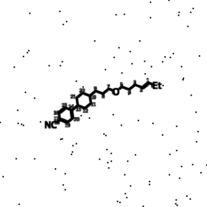 CC/C=C/CCCOCCCC1CCC(c2ccc(C#N)cc2)CC1